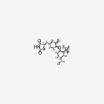 O=C1NC(=O)/C(=C/c2ccc(Oc3ccc(CI)cc3C(F)(F)F)c(F)c2)S1